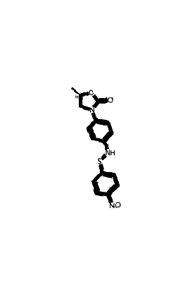 C[C@@H]1CN(c2ccc(NSc3ccc(N=O)cc3)cc2)C(=O)O1